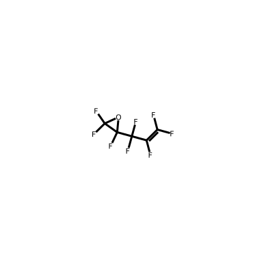 FC(F)=C(F)C(F)(F)C1(F)OC1(F)F